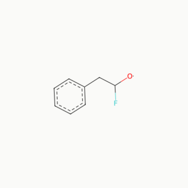 [O]C(F)Cc1ccccc1